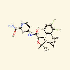 COc1c([C@@H]2[C@@H](C3CC3)[C@](C)(C(F)(F)F)O[C@H]2C(=O)Nc2ccnc(C(N)=O)c2)ccc(F)c1F